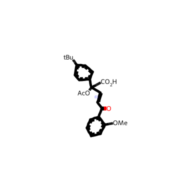 COc1ccccc1C(=O)/C=C/C(OC(C)=O)(C(=O)O)c1ccc(C(C)(C)C)cc1